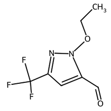 CCOn1nc(C(F)(F)F)cc1C=O